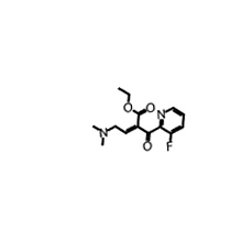 CCOC(=O)/C(=C\CN(C)C)C(=O)c1ncccc1F